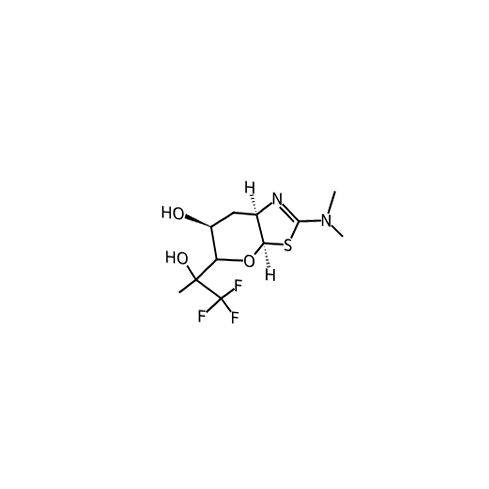 CN(C)C1=N[C@@H]2C[C@H](O)C(C(C)(O)C(F)(F)F)O[C@@H]2S1